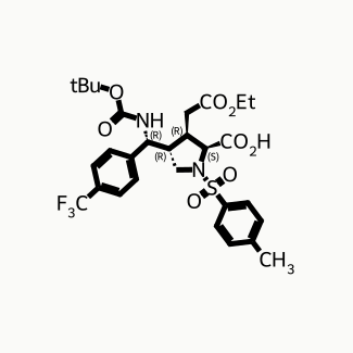 CCOC(=O)C[C@@H]1[C@@H]([C@@H](NC(=O)OC(C)(C)C)c2ccc(C(F)(F)F)cc2)CN(S(=O)(=O)c2ccc(C)cc2)[C@@H]1C(=O)O